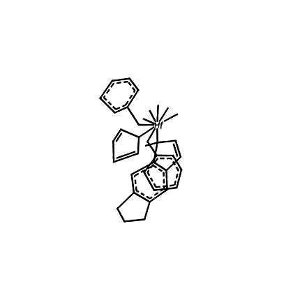 C[C]1([Hf]([CH3])([CH3])([CH3])([CH3])([CH3])([CH2]c2ccccc2)([CH2]c2ccccc2)[CH]2C=CC=C2)C=Cc2cc3c(cc21)CCC3